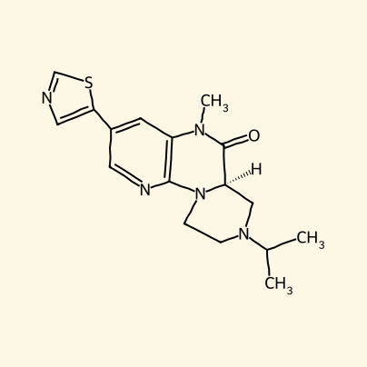 CC(C)N1CCN2c3ncc(-c4cncs4)cc3N(C)C(=O)[C@H]2C1